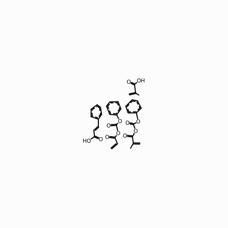 C=C(C)C(=O)O.C=C(C)C(=O)OC(=O)Oc1ccccc1.C=CC(=O)OC(=O)Oc1ccccc1.O=C(O)C=Cc1ccccc1